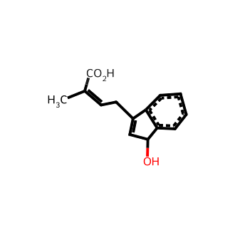 C/C(=C/CC1=CC(O)c2ccccc21)C(=O)O